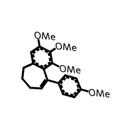 COc1ccc(C2=CCCCc3cc(OC)c(OC)c(OC)c32)cc1